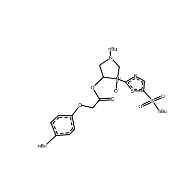 CCCCc1ccc(OCC(=O)OC2CN(CCCC)C[N+]2([O-])c2ncc(S(=O)(=O)CCCC)s2)cc1